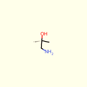 [CH2][C@@](C)(O)CN